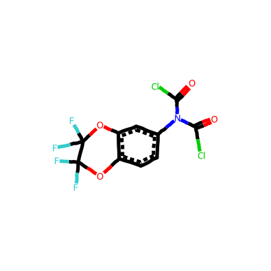 O=C(Cl)N(C(=O)Cl)c1ccc2c(c1)OC(F)(F)C(F)(F)O2